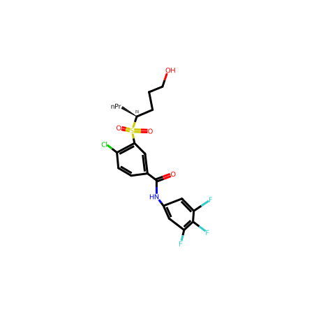 CCC[C@@H](CCCO)S(=O)(=O)c1cc(C(=O)Nc2cc(F)c(F)c(F)c2)ccc1Cl